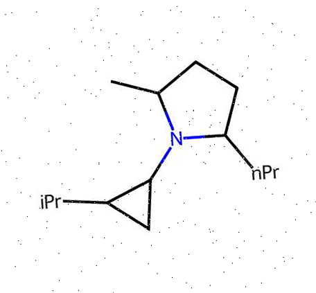 CCCC1CCC(C)N1C1CC1C(C)C